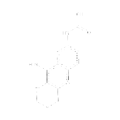 CC(=O)Nc1ccc2nc3c(c(N)c2c1)OCCC3